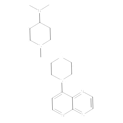 C[C@@H]1CN(c2ccnc3nccnc23)C[C@H](CN2CCC(N(C)C)CC2)O1